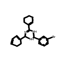 Brc1cccc(C2NC(C3=CCCCC3)=NC(C3=CC=CCC3)N2)c1